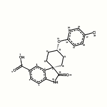 O=C(O)c1ccc2c(c1)[C@]1(CC[C@@H](Oc3ccc(Cl)cn3)CC1)C(=O)N2